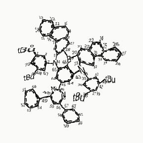 CC(C)(C)c1cc(N2c3cc4c(ccc5ccccc54)cc3B3c4cc5ccc6ccccc6c5cc4N(c4cc(C(C)(C)C)cc(C(C)(C)C)c4)c4cc(-c5nc(-c6ccccc6)cc(-c6ccccc6)n5)cc2c43)cc(C(C)(C)C)c1